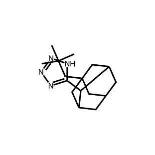 CC(C)(C)CC12CC3CC(C1)C(c1nnn[nH]1)C(C3)C2